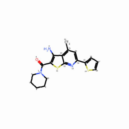 Nc1c(C(=O)N2CCCCC2)sc2nc(-c3cccs3)cc(C(F)(F)F)c12